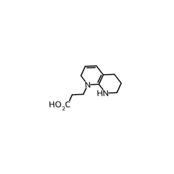 O=C(O)CCN1CC=CC2=C1NCCC2